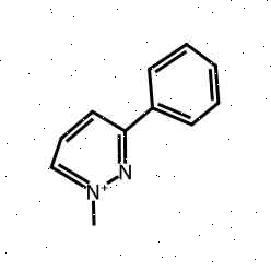 C[n+]1cccc(-c2ccccc2)n1